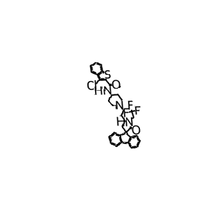 O=C(NC1CCN(CCCCC2(C(=O)NCC(F)(F)F)c3ccccc3-c3ccccc32)CC1)c1sc2ccccc2c1Cl